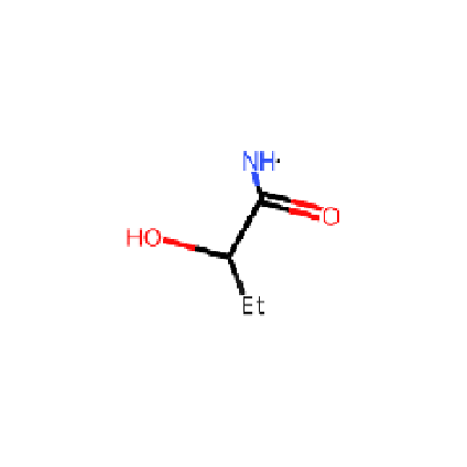 CCC(O)C([NH])=O